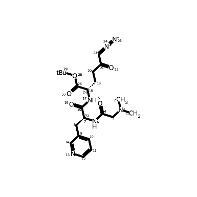 CN(C)CC(=O)N[C@@H](Cc1cccnc1)C(=O)N[C@@H](CCC(=O)C=[N+]=[N-])C(=O)OC(C)(C)C